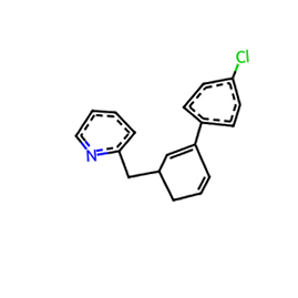 Clc1ccc(C2=CC(Cc3ccccn3)CC=C2)cc1